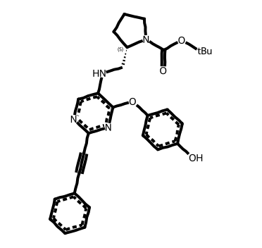 CC(C)(C)OC(=O)N1CCC[C@H]1CNc1cnc(C#Cc2ccccc2)nc1Oc1ccc(O)cc1